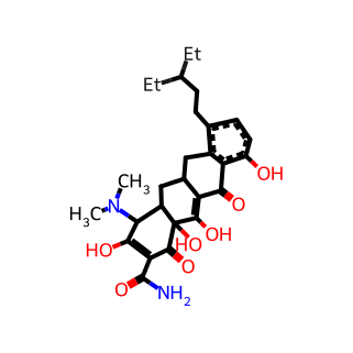 CCC(CC)CCc1ccc(O)c2c1CC1CC3C(N(C)C)C(O)=C(C(N)=O)C(=O)C3(O)C(O)=C1C2=O